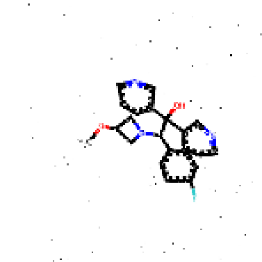 COC1CN(C(c2ccc(F)cc2)C(O)(c2cccnc2)c2cccnc2)C1